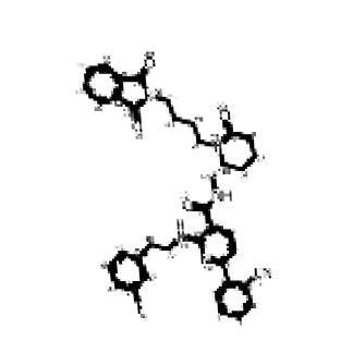 N#Cc1ccccc1-c1ccc(C(=O)NC[C@H]2CCCC(=O)N2CCCCN2C(=O)c3ccccc3C2=O)c(NCCc2cccc(F)c2)n1